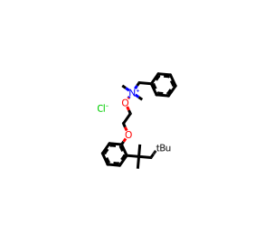 CC(C)(C)CC(C)(C)c1ccccc1OCCO[N+](C)(C)Cc1ccccc1.[Cl-]